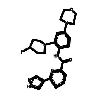 O=C(Nc1ccc(N2CCOCC2)cc1N1CCC(F)CC1)c1cccc(-c2cn[nH]c2)n1